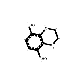 O=Cc1ccc(C=O)c2c1OCCO2